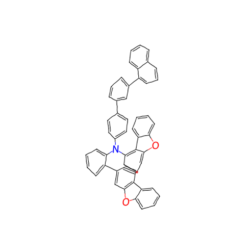 c1c(-c2ccccc2N(C2=c3c(oc4ccccc34)=CCC2)c2ccc(-c3cccc(-c4cccc5ccccc45)c3)cc2)cc2oc3ccccc3c2c#1